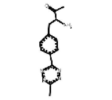 CC(=O)C(N)Cc1ccc(-c2nnc(C)nn2)cc1